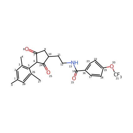 Cc1cc(C)c(C2C(=O)CC(CCNC(=O)c3ccc(OC(F)(F)F)cc3)C2=O)c(C)c1